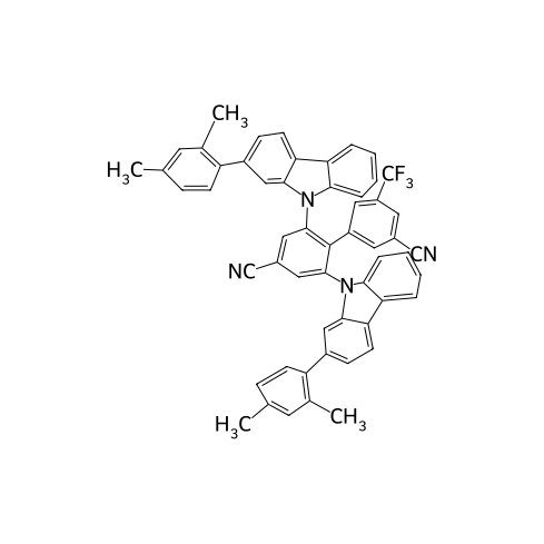 Cc1ccc(-c2ccc3c4ccccc4n(-c4cc(C#N)cc(-n5c6ccccc6c6ccc(-c7ccc(C)cc7C)cc65)c4-c4cc(C#N)cc(C(F)(F)F)c4)c3c2)c(C)c1